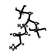 C[Si](C)(C)OC(O[Si](C)(C)C)[SiH2]OC(=O)CN